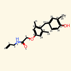 C=CCNC(=O)COc1cc(C)c(Cc2ccc(O)c(C(C)C)c2)c(C)c1